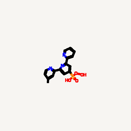 Cc1ccnc(-c2cc(P(=O)(O)OO)cc(-c3ccccn3)n2)c1